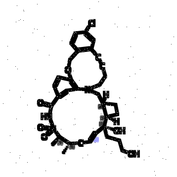 C[C@@H]1[C@@H](C)C/C=C/[C@](O)(CCCO)[C@@H]2CC[C@H]2CN2CCCCc3cc(Cl)ccc3COc3ccc(cc32)C(=O)NS1(=O)=O